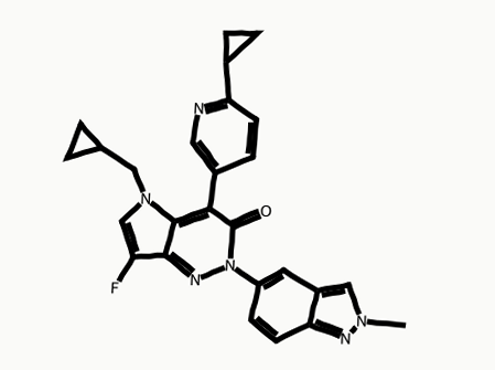 Cn1cc2cc(-n3nc4c(F)cn(CC5CC5)c4c(-c4ccc(C5CC5)nc4)c3=O)ccc2n1